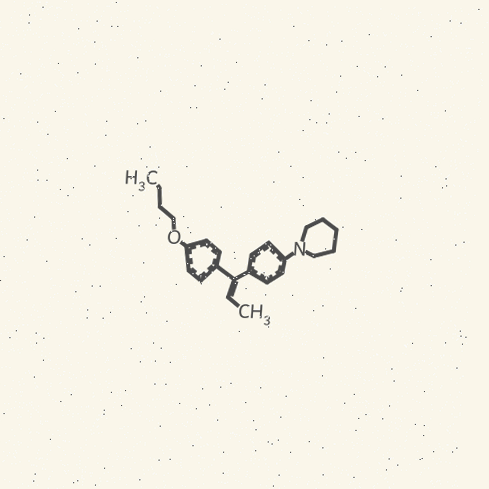 CC=C(c1ccc(OCCCC)cc1)c1ccc(N2CCCCC2)cc1